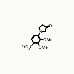 CCOC(=O)c1ccc(N2CCC(=O)C2)c(OC)c1OC